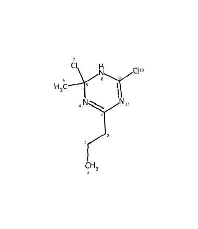 CCCC1=NC(C)(Cl)NC(Cl)=N1